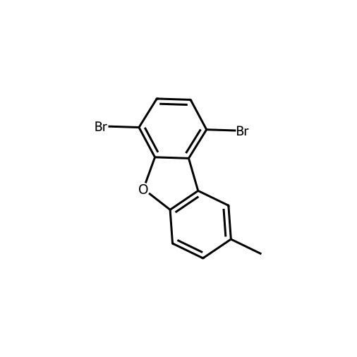 Cc1ccc2oc3c(Br)ccc(Br)c3c2c1